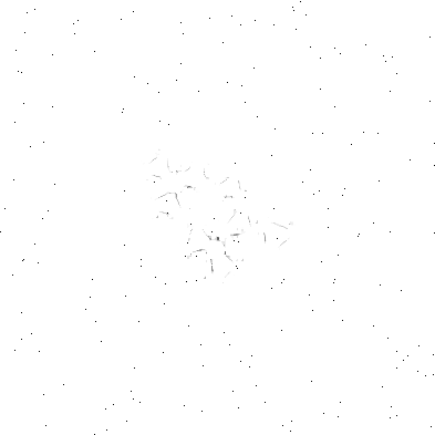 c1ccc(-c2cc(-c3cccc(-c4ccc5c6ccccc6c6ccccc6c5c4)c3)cc(-n3c4ccccc4c4ccccc43)c2)cc1